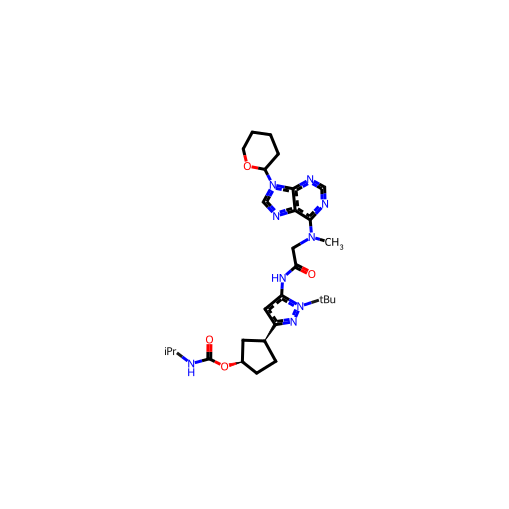 CC(C)NC(=O)O[C@@H]1CC[C@H](c2cc(NC(=O)CN(C)c3ncnc4c3ncn4C3CCCCO3)n(C(C)(C)C)n2)C1